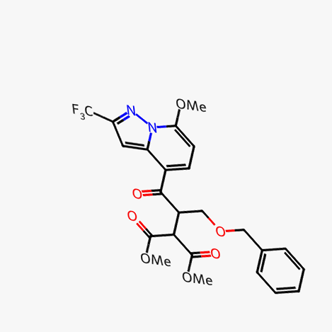 COC(=O)C(C(=O)OC)C(COCc1ccccc1)C(=O)c1ccc(OC)n2nc(C(F)(F)F)cc12